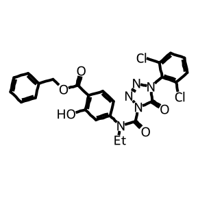 CCN(C(=O)n1nnn(-c2c(Cl)cccc2Cl)c1=O)c1ccc(C(=O)OCc2ccccc2)c(O)c1